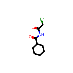 O=C(CBr)NC(=O)C1CCCCC1